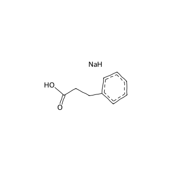 O=C(O)CCc1ccccc1.[NaH]